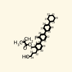 C=C(C)C(=O)OCc1cc(-c2ccc(-c3ccc(C4CCCCC4)cc3)cc2F)ccc1CCCO